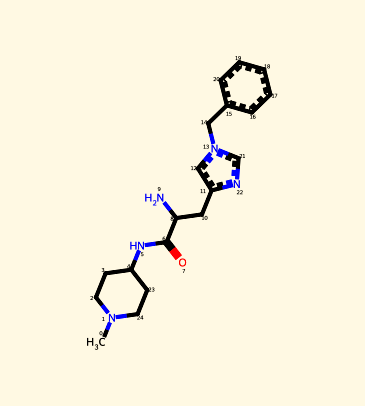 CN1CCC(NC(=O)C(N)Cc2cn(Cc3ccccc3)cn2)CC1